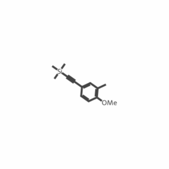 COc1ccc(C#C[Si](C)(C)C)cc1C